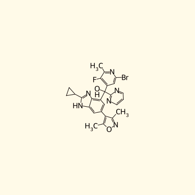 Cc1nc(Br)cc(C(O)(c2ncccn2)c2cc(-c3c(C)noc3C)cc3[nH]c(C4CC4)nc23)c1F